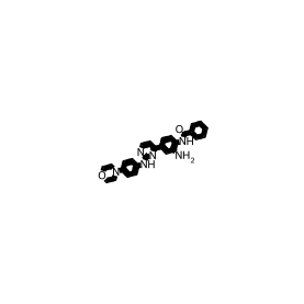 Nc1cc(-c2ccnc(Nc3ccc(N4CCOCC4)cc3)n2)ccc1NC(=O)C1CCCCC1